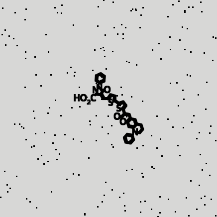 O=C(O)C1=NN(c2ccccc2)C(=O)/C1=C\c1ccc(-c2ccc(-c3cc4cc5c(cc4oc3=O)N(c3ccccc3)CCC5)s2)s1